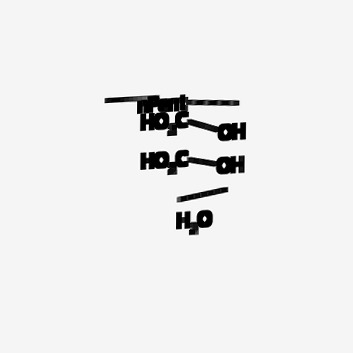 CC.CC.CCCCCC.O.O=C(O)O.O=C(O)O